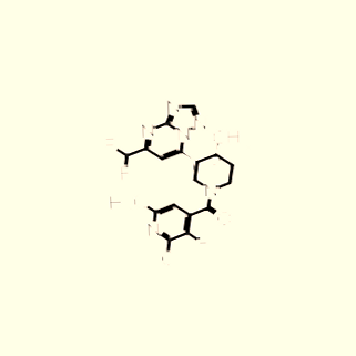 Cc1cc(C(=O)N2CC[C@@H](C)[C@H](c3cc(C(F)F)nc4ncnn34)C2)c(F)c(Cl)n1